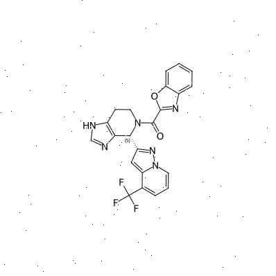 O=C(c1nc2ccccc2o1)N1CCc2[nH]cnc2[C@H]1c1cc2c(C(F)(F)F)cccn2n1